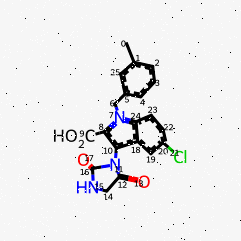 Cc1cccc(Cn2c(C(=O)O)c(N3C(=O)CNC3=O)c3cc(Cl)ccc32)c1